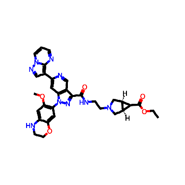 CCOC(=O)C1[C@H]2CN(CCNC(=O)c3nn(-c4cc5c(cc4OC)NCCO5)c4cc(-c5cnn6cccnc56)ncc34)C[C@@H]12